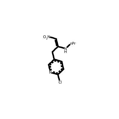 CCCN/C(=C/[N+](=O)[O-])Cc1ccc(Cl)nc1